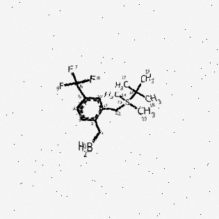 BCc1ccc(C(F)(F)F)cc1CS(C)(C)C(C)(C)C